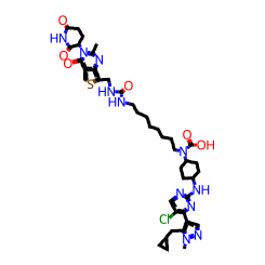 Cc1nc2c(CNC(=O)NCCCCCCCCN(C(=O)O)C3CCC(Nc4ncc(Cl)c(-c5cnn(C)c5CC5CC5)n4)CC3)scc2c(=O)n1C1CCC(=O)NC1=O